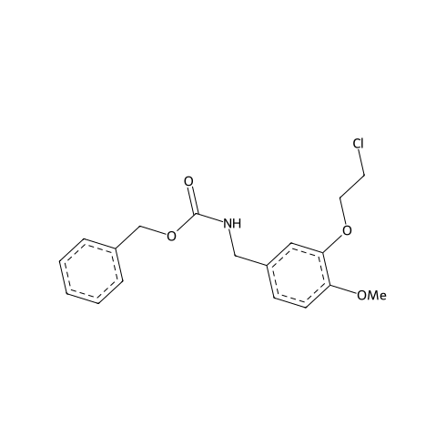 COc1ccc(CNC(=O)OCc2ccccc2)cc1OCCCl